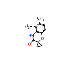 Cc1ccc2c(c1C)NC(=O)C1(CC1)O2